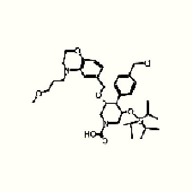 COCCCN1CCOc2ccc(CO[C@H]3CN(C(=O)O)C[C@@H](O[Si](C(C)C)(C(C)C)C(C)C)[C@@H]3c3ccc(CCl)cc3)cc21